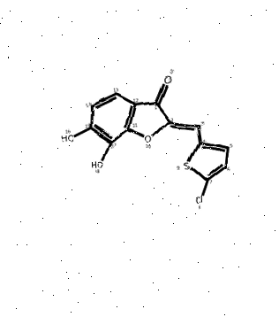 O=C1C(=Cc2ccc(Cl)s2)Oc2c1ccc(O)c2O